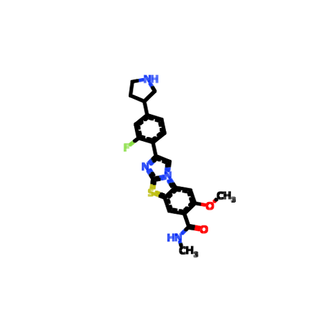 CNC(=O)c1cc2sc3nc(-c4ccc(C5CCNC5)cc4F)cn3c2cc1OC